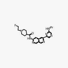 CC(C)Nc1cncc(-c2cc3cc(NC(=O)C4CCN(CCF)CC4)ncc3cn2)n1